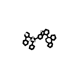 c1ccc(-c2nc(-c3ccc4c(c3)oc3cccc(C5CCc6ccccc6-c6ccccc65)c34)nc(-c3ccccc3-c3ccccc3)n2)cc1